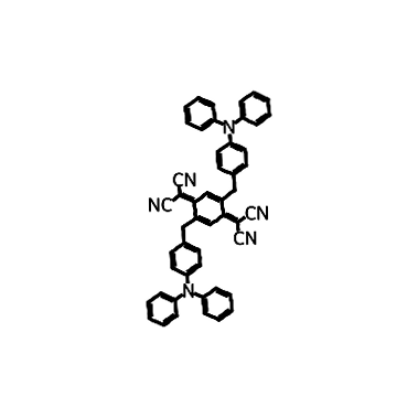 N#CC(C#N)=c1cc(Cc2ccc(N(c3ccccc3)c3ccccc3)cc2)c(=C(C#N)C#N)cc1Cc1ccc(N(c2ccccc2)c2ccccc2)cc1